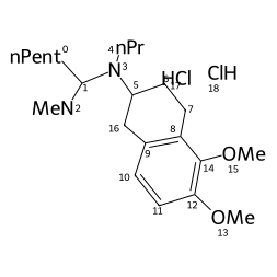 CCCCCC(NC)N(CCC)C1CCc2c(ccc(OC)c2OC)C1.Cl.Cl